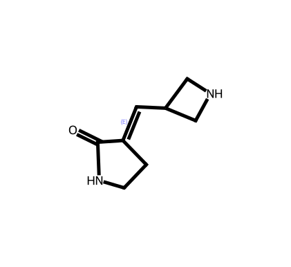 O=C1NCC/C1=C\C1CNC1